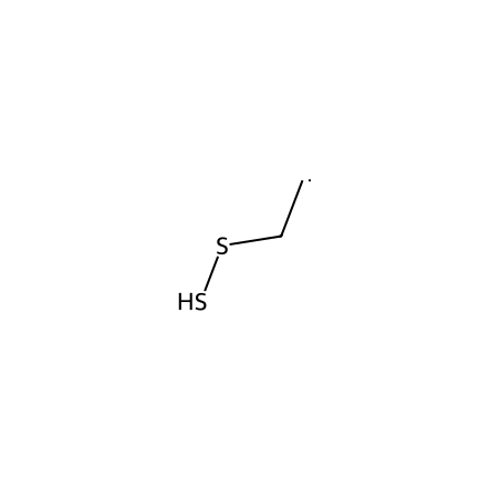 [CH2]CSS